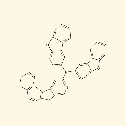 C1=Cc2c(ccc3oc4cnc(N(c5ccc6oc7ccccc7c6c5)c5ccc6oc7ccccc7c6c5)cc4c23)CC1